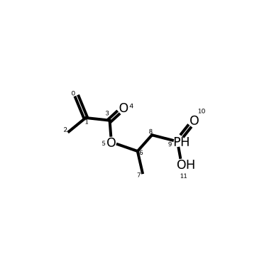 C=C(C)C(=O)OC(C)C[PH](=O)O